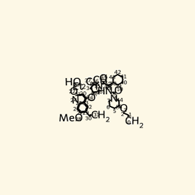 C=CCO[C@H]1CCCN(C(=O)N[C@H](C(=O)N2C[C@H](Oc3cc(OCC)nc4cc(OC)c(C=C)cc34)C[C@@]2(C)C(=O)O)C2CCCCC2)C1